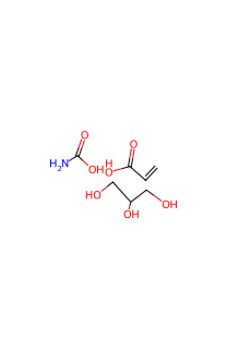 C=CC(=O)O.NC(=O)O.OCC(O)CO